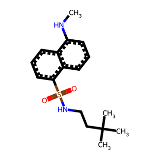 CNc1cccc2c(S(=O)(=O)NCCC(C)(C)C)cccc12